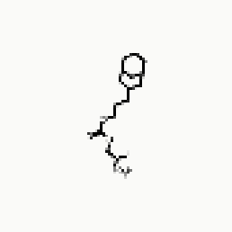 O=C(OCCCC1CC2CCCC(C1)C2)OCC(F)S(=O)(=O)O